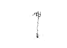 CC(CCC=O)N(C)C(=O)c1c(C=O)cccc1NCCOCCOCCOCCOCCN(N)/C=C(\N)C=O